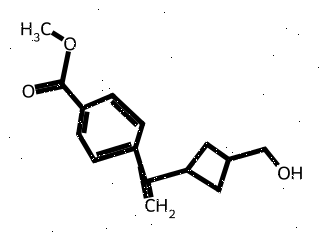 C=C(c1ccc(C(=O)OC)cc1)C1CC(CO)C1